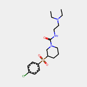 CCN(CC)CCNC(=O)N1CCCC(S(=O)(=O)c2ccc(Cl)cc2)C1